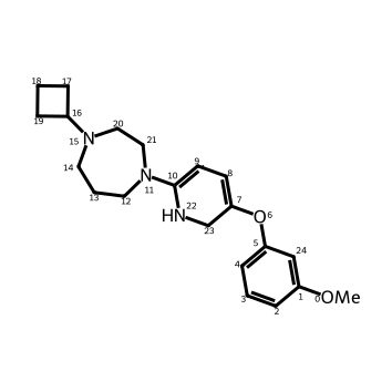 COc1cccc(OC2=C[C]=C(N3CCCN(C4CCC4)CC3)NC2)c1